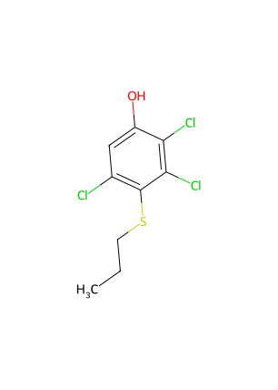 CCCSc1c(Cl)cc(O)c(Cl)c1Cl